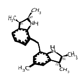 Cc1cc(Cc2cccc3c2N[C@H](C)[C@@H]3C)c2c(c1)[C@H](C)[C@H](C)N2